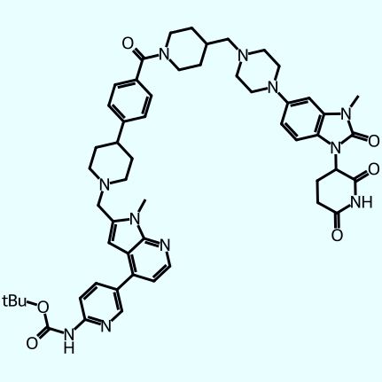 Cn1c(CN2CCC(c3ccc(C(=O)N4CCC(CN5CCN(c6ccc7c(c6)n(C)c(=O)n7C6CCC(=O)NC6=O)CC5)CC4)cc3)CC2)cc2c(-c3ccc(NC(=O)OC(C)(C)C)nc3)ccnc21